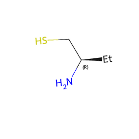 CC[C@@H](N)CS